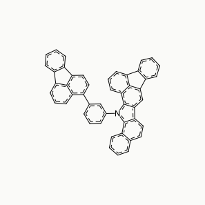 c1cc(-c2ccc3c4c(cccc24)-c2ccccc2-3)cc(-n2c3c4ccccc4ccc3c3cc4c5c(cccc5c32)-c2ccccc2-4)c1